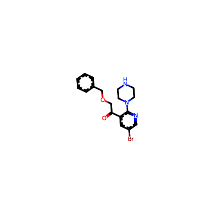 O=C(COCc1ccccc1)c1cc(Br)cnc1N1CCNCC1